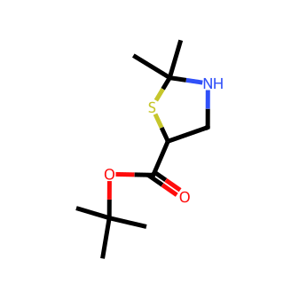 CC(C)(C)OC(=O)C1CNC(C)(C)S1